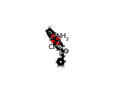 Nc1nnc(Cl)cc1N1CC2CCC(C1)N2c1ncc(N2CCN(C(=O)OCc3ccccc3)CC2)cn1